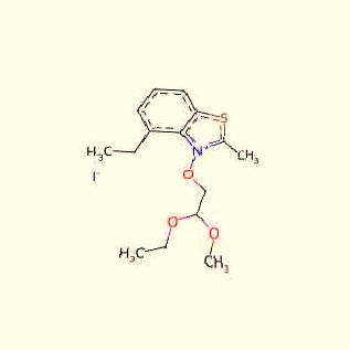 CCOC(CO[n+]1c(C)sc2cccc(CC)c21)OC.[I-]